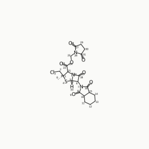 C[C@@]1(CCl)S[C@H]2C(N3C(=O)C4CCCCC4C3=O)C(=O)N2C1C(=O)OCN1C(=O)CCC1=O